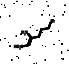 CC(C)CCCC(N)=CC(=O)O